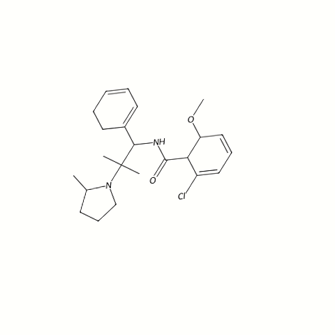 COC1C=CC=C(Cl)C1C(=O)NC(C1=CC=CCC1)C(C)(C)N1CCCC1C